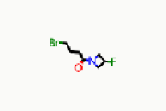 O=C(/C=C/CBr)N1CC(F)C1